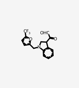 O=CC(=O)C1CN(Cc2ccc(C(F)(F)F)o2)c2ccccc21